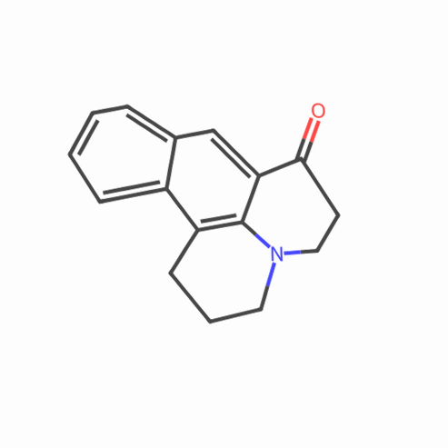 O=C1CCN2CCCc3c2c1cc1ccccc31